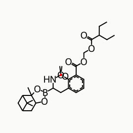 CCC(CC)C(=O)OCOC(=O)c1cccc(CC(NC(C)=O)B2OC3CC4CC(C4(C)C)C3(C)O2)c1OC